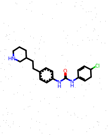 O=C(NC1=CCC(Cl)C=C1)Nc1ccc(CCC2CCCNC2)cc1